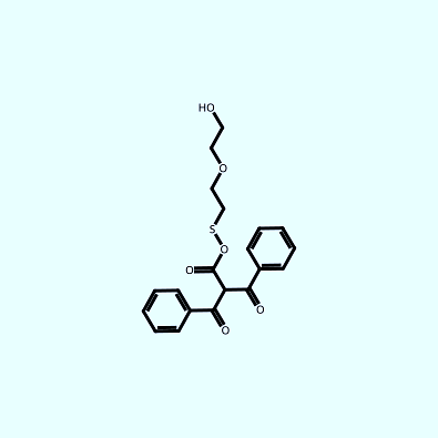 O=C(OSCCOCCO)C(C(=O)c1ccccc1)C(=O)c1ccccc1